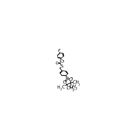 CC1(C)OB(c2ccc(CSC(=O)Oc3ccc(F)cc3)cc2)OC1(C)C